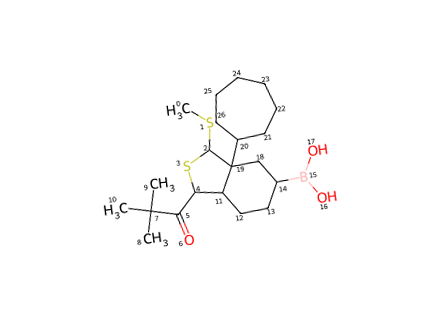 CSC1SC(C(=O)C(C)(C)C)C2CCC(B(O)O)CC12C1CCCCCC1